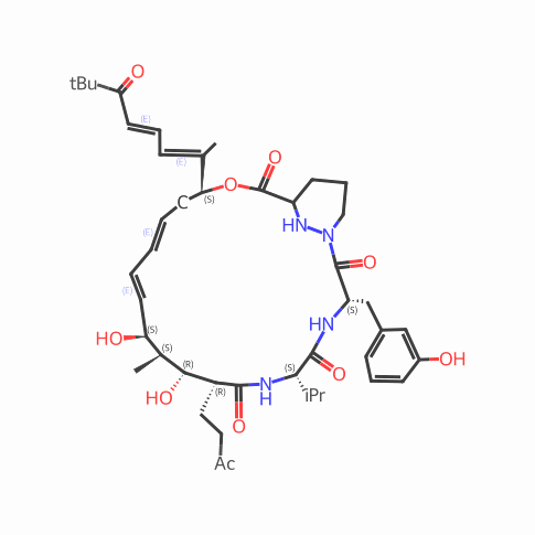 CC(=O)CC[C@H]1C(=O)N[C@@H](C(C)C)C(=O)N[C@@H](Cc2cccc(O)c2)C(=O)N2CCCC(N2)C(=O)O[C@H](/C(C)=C/C=C/C(=O)C(C)(C)C)C/C=C/C=C/[C@H](O)[C@H](C)[C@H]1O